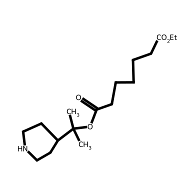 CCOC(=O)CCCCCC(=O)OC(C)(C)C1CCNCC1